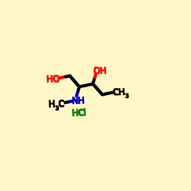 CCC(O)C(CO)NC.Cl